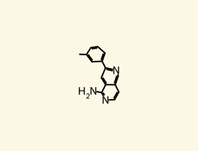 Cc1cccc(-c2cc3c(N)nccc3cn2)c1